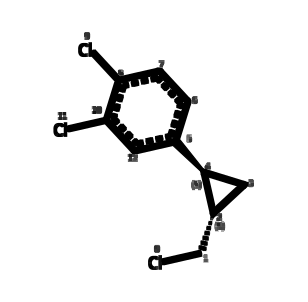 ClC[C@H]1C[C@@H]1c1ccc(Cl)c(Cl)c1